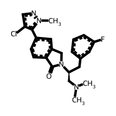 CN(C)C[C@H](Cc1cccc(F)c1)N1Cc2cc(-c3c(Cl)cnn3C)ccc2C1=O